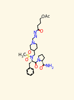 CC(=O)OCCCC(=O)N=NCN1CCC(CN([C@H](Cc2ccccc2)C(=O)N2CCC[C@H]2C(N)=O)S(C)(=O)=O)CC1